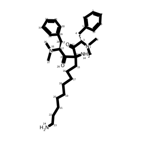 CN(C)[C@@H](Cc1ccccc1)C(=O)C(N)(CCCCCCCCCN)C(=O)[C@H](Cc1ccccc1)N(C)C